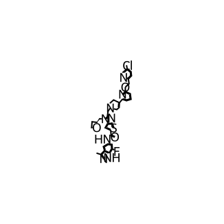 Cc1n[nH]c2c(F)cc(NC(=O)c3cc4c(nc(CN5CC=C(c6cccc(OCc7ccc(Cl)cn7)n6)CC5)n4C[C@@H]4CCO4)s3)cc12